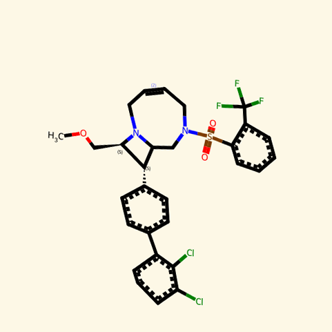 COC[C@@H]1[C@@H](c2ccc(-c3cccc(Cl)c3Cl)cc2)C2CN(S(=O)(=O)c3ccccc3C(F)(F)F)C/C=C\CN21